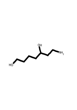 NCCC(O)CCCCO